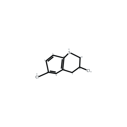 Clc1ccc2c(c1)CC(Cl)CS2